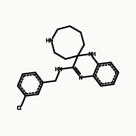 Clc1cccc(CNC2=Nc3ccccc3NC23CCCCNCC3)c1